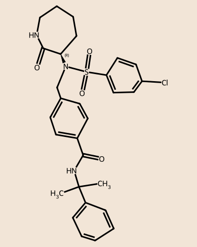 CC(C)(NC(=O)c1ccc(CN([C@@H]2CCCCNC2=O)S(=O)(=O)c2ccc(Cl)cc2)cc1)c1ccccc1